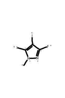 Cn1nc(F)c(I)c1I